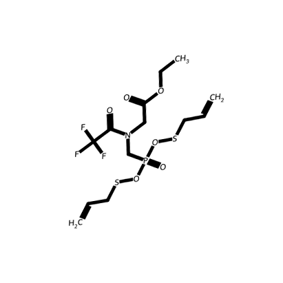 C=CCSOP(=O)(CN(CC(=O)OCC)C(=O)C(F)(F)F)OSCC=C